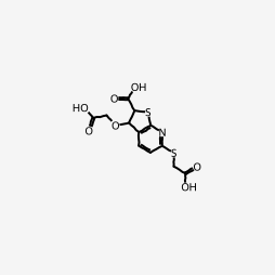 O=C(O)COC1c2ccc(SCC(=O)O)nc2SC1C(=O)O